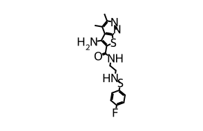 Cc1nnc2sc(C(=O)NCCNSc3ccc(F)cc3)c(N)c2c1C